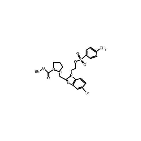 Cc1ccc(S(=O)(=O)OCCn2c(C[C@@H]3CCCN3C(=O)OC(C)(C)C)nc3cc(Br)ccc32)cc1